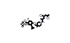 C=C(Cl)/C=C(Cl)\C=C(/C)[C@H](C)N1CCC(C)(COc2cc(F)c(C(=O)NS(C)(=O)=O)cc2C2CC2)CC1